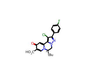 CC(C)(C)[C@@H]1Cn2nc(-c3ccc(F)cc3)c(Cl)c2-c2cc(=O)c(C(=O)O)cn21